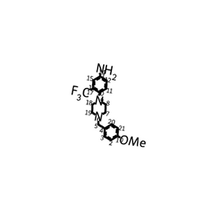 COc1ccc(CN2CCN(c3ccc(N)cc3C(F)(F)F)CC2)cc1